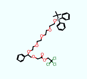 CC(C)(C)[Si](OCCOCCOCCOCCOC(COCC(=O)OCC(Cl)(Cl)Cl)c1ccccc1)(c1ccccc1)c1ccccc1